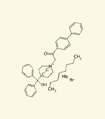 Br.CCCCCCCC.O=C(C[N+]12CCC(C(O)(c3ccccc3)c3ccccc3)(CC1)CC2)c1ccc(-c2ccccc2)cc1.[Br-]